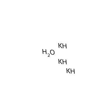 O.[KH].[KH].[KH]